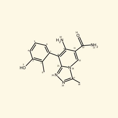 Cc1c(O)cccc1-c1c(N)c(C(N)=O)cn2c(C)nnc12